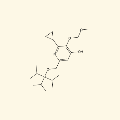 COCOc1c(O)cc(CO[Si](C(C)C)(C(C)C)C(C)C)nc1C1CC1